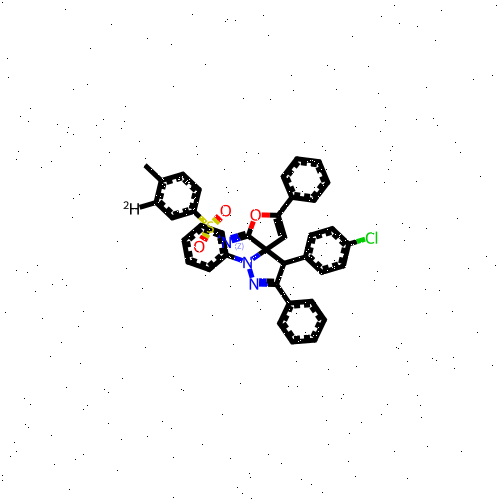 [2H]c1cc(S(=O)(=O)/N=C2\OC(c3ccccc3)=CC23C(c2ccc(Cl)cc2)C(c2ccccc2)=NN3c2ccccc2)ccc1C